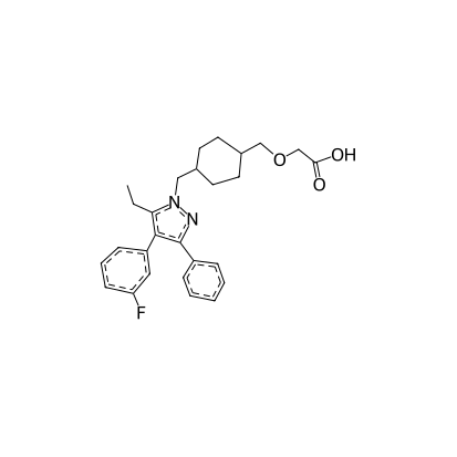 CCc1c(-c2cccc(F)c2)c(-c2ccccc2)nn1CC1CCC(COCC(=O)O)CC1